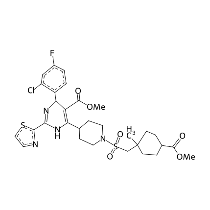 COC(=O)C1=C(C2CCN(S(=O)(=O)CC3(C)CCC(C(=O)OC)CC3)CC2)NC(c2nccs2)=NC1c1ccc(F)cc1Cl